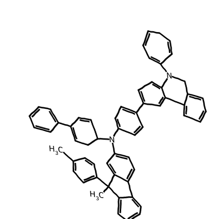 Cc1ccc(C2(C)c3ccccc3-c3ccc(N(c4ccc(-c5ccc6c(c5)-c5ccccc5CN6C5=CC=CCC=C5)cc4)C4C=CC(c5ccccc5)=CC4)cc32)cc1